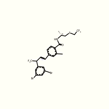 Cc1cc(/C=C/C(c2cc(Br)cc(Br)c2)C(F)(F)F)ccc1C(=O)N[C@H](C)CSCC(F)(F)F